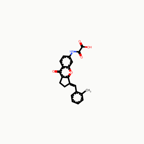 Cc1ccccc1C=C1CCc2c1oc1cc(NC(=O)C(=O)O)ccc1c2=O